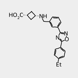 CCc1ccc(-c2nc(-c3cccc(CN[C@H]4C[C@@H](C(=O)O)C4)c3)no2)cc1